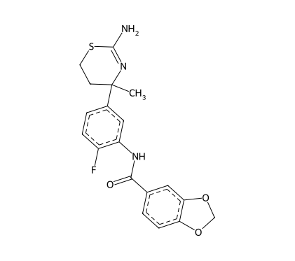 CC1(c2ccc(F)c(NC(=O)c3ccc4c(c3)OCO4)c2)CCSC(N)=N1